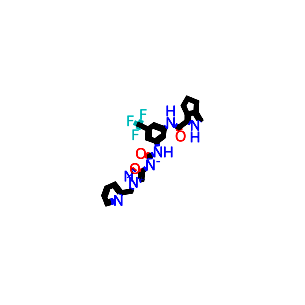 O=C([N-]c1c[n+](Cc2ccccn2)no1)Nc1cc(NC(=O)c2[nH]cc3c2CCC3)cc(C(F)(F)F)c1